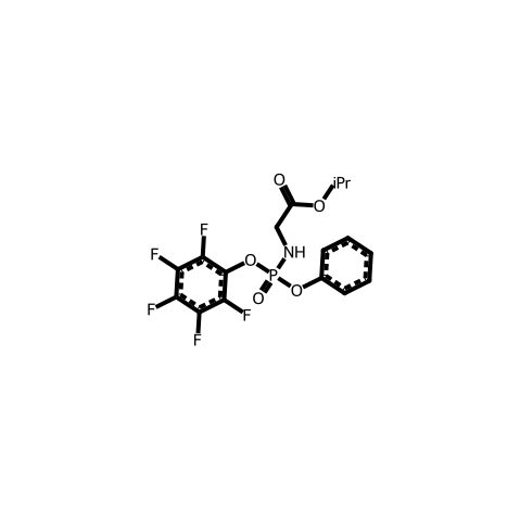 CC(C)OC(=O)CNP(=O)(Oc1ccccc1)Oc1c(F)c(F)c(F)c(F)c1F